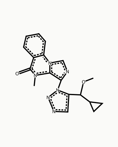 COC(c1cnnn1-c1ncn2c3ccccc3c(=O)n(C)c12)C1CC1